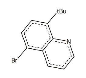 CC(C)(C)c1ccc(Br)c2cccnc12